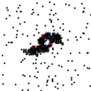 Cc1cccc(C)c1-c1cc2nc(n1)NS(=O)(=O)c1cccc(c1)C(=O)N(Cc1ccc(C3CC(C)(C)CO3)cn1)[C@H](CC(C)(C)C)CO2